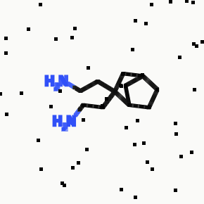 NCCC1(CCN)CC2CCC1C2